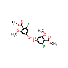 COC(=O)c1c(F)cc(OBOc2cc(F)c(C(=O)OC)c(OC)c2)cc1OC